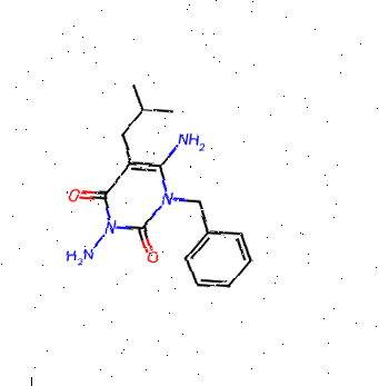 CC(C)Cc1c(N)n(Cc2ccccc2)c(=O)n(N)c1=O